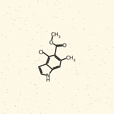 COC(=O)c1c(C)cc2[nH]ccc2c1Cl